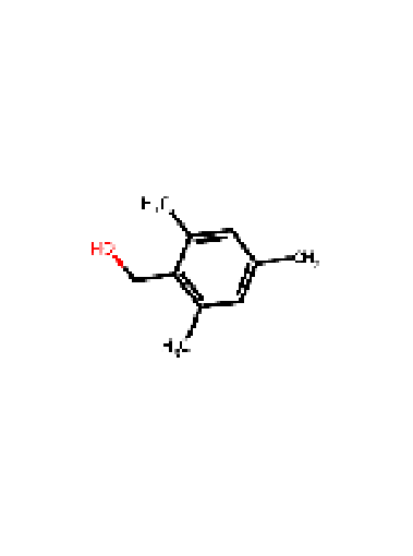 Cc1cc(C)c(CO)c(C)c1